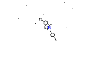 C#Cc1ccc(C2CCN(C(=C)c3ccc(C4CCC4)cc3CC)C2)cc1